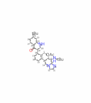 CC(=O)OCc1c(-c2cc(NC(C)(C)C)c3nccn3c2)cccc1-c1c[nH]c2cc(C(C)(C)C)ccc2c1=O